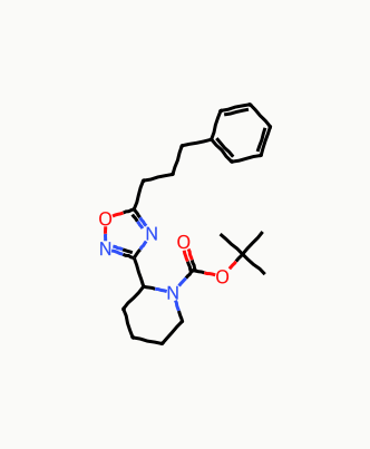 CC(C)(C)OC(=O)N1CCCCC1c1noc(CCCc2ccccc2)n1